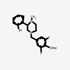 COc1c(F)cc(CN2CCN(C)C(c3ccccc3C(C)C)C2)cc1F